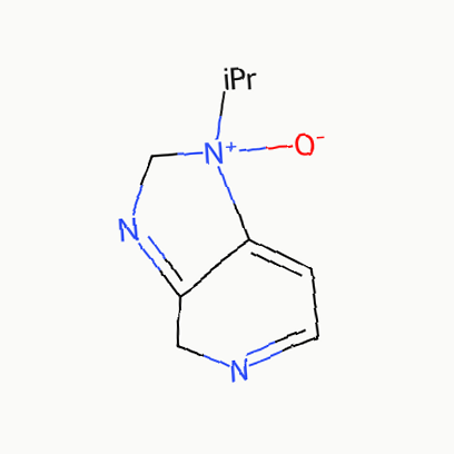 CC(C)[N+]1([O-])CN=C2CN=CC=C21